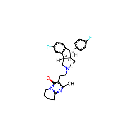 Cc1nc2n(c(=O)c1CCN1CC[C@@H]3[C@@H](c4ccc(F)cc4)c4ccc(F)cc4[C@H]3C1)CCCC2